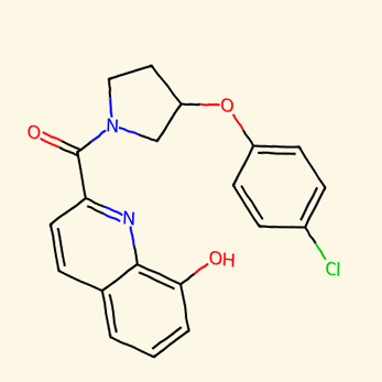 O=C(c1ccc2cccc(O)c2n1)N1CCC(Oc2ccc(Cl)cc2)C1